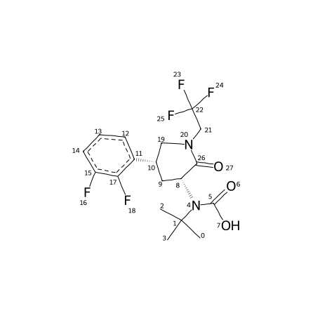 CC(C)(C)N(C(=O)O)[C@@H]1C[C@H](c2cccc(F)c2F)CN(CC(F)(F)F)C1=O